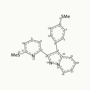 CSc1ccc(-c2c(-c3cccc(SC)n3)nn3ccccc23)cc1